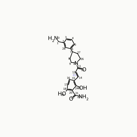 NCc1cccc(C2CCN(C(=O)/C=C/c3ccc(O)c(C(N)=O)c3O)CC2)c1